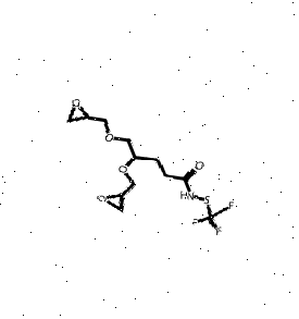 O=C(CCC(COCC1CO1)OCC1CO1)NSC(F)(F)F